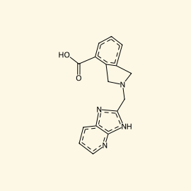 O=C(O)c1cccc2c1CN(Cc1nc3cccnc3[nH]1)C2